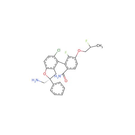 CC(F)COc1ccc(C(N)=O)c(-c2c(Cl)ccc3c2C[C@@](CN)(c2ccccc2)O3)c1F